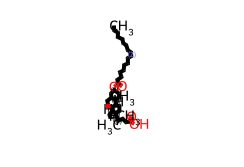 CCCCCCCC/C=C\CCCCCCCC(=O)O[C@@H]1CC[C@@]2(C)C(CC[C@H]3[C@@H]4CC[C@H]([C@H](C)CCC(=O)O)[C@@]4(C)CC[C@@H]32)C1